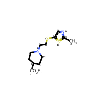 CCOC(=O)C1CCN(CCSc2cnc(C)s2)CC1